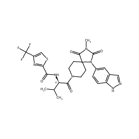 CC(C)[C@@H](NC(=O)c1nc(C(F)(F)F)cs1)C(=O)N1CCC2(CC1)C(=O)N(C)C(=O)N2c1ccc2[nH]ncc2c1